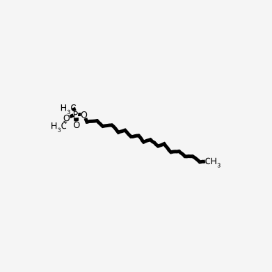 CCCCCCCCCCCCCCCCCCOP(C)(=O)OC